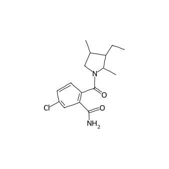 CCC1C(C)CN(C(=O)c2ccc(Cl)cc2C(N)=O)C1C